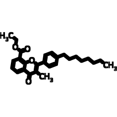 CCCCCCCCc1ccc(-c2oc3c(C(=O)OCC)cccc3c(=O)c2C)cc1